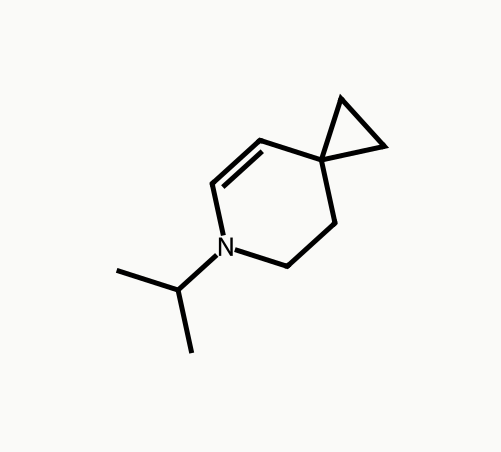 CC(C)N1C=CC2(CC1)CC2